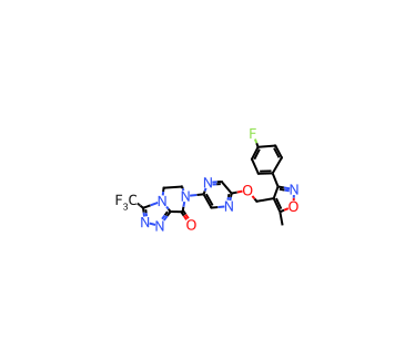 Cc1onc(-c2ccc(F)cc2)c1COc1cnc(N2CCn3c(nnc3C(F)(F)F)C2=O)cn1